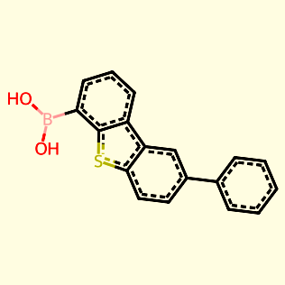 OB(O)c1cccc2c1sc1ccc(-c3ccccc3)cc12